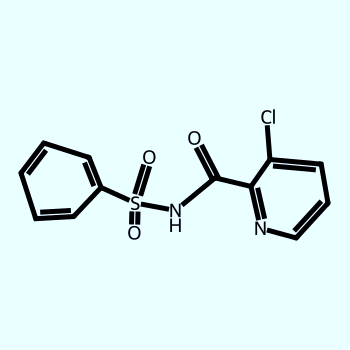 O=C(NS(=O)(=O)c1ccccc1)c1ncccc1Cl